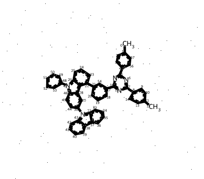 Cc1ccc(-c2nc(-c3ccc(C)cc3)nc(-c3cccc(-c4cccc5c4c4cc(-n6c7ccccc7c7ccccc76)ccc4n5-c4ccccc4)c3)n2)cc1